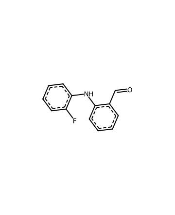 O=Cc1ccccc1Nc1ccccc1F